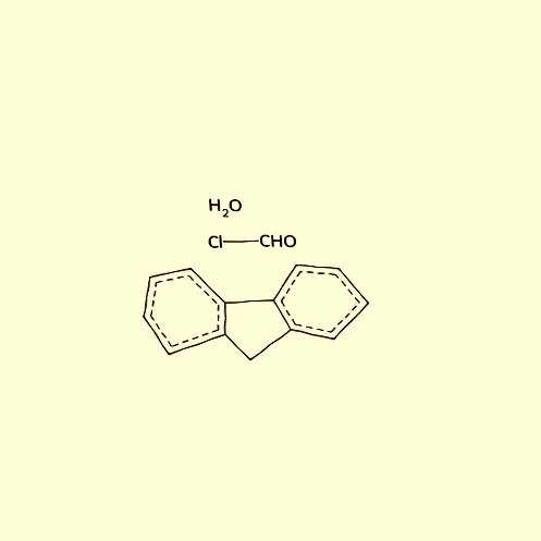 O.O=CCl.c1ccc2c(c1)Cc1ccccc1-2